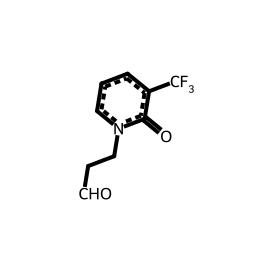 O=CCCn1cccc(C(F)(F)F)c1=O